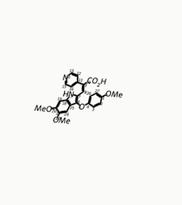 COc1ccc(Oc2c(C=C(C(=O)O)c3ccncc3)[nH]c3cc(OC)c(OC)cc23)cc1